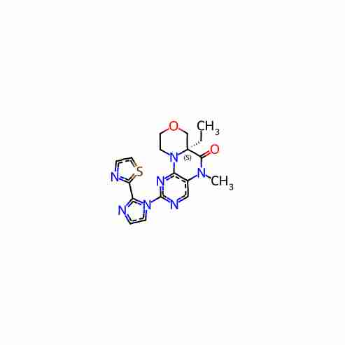 CC[C@@]12COCCN1c1nc(-n3ccnc3-c3nccs3)ncc1N(C)C2=O